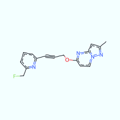 Cc1cc2nc(OCC#Cc3cccc(CF)n3)ccn2n1